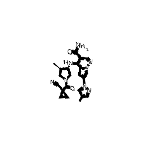 Cc1cnn(-c2cc3c(N[C@@H]4CN(C(=O)C5(C#N)CC5)C[C@H]4C)c(C(N)=O)cnn3c2)c1